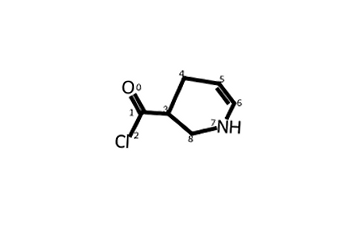 O=C(Cl)C1CC=CNC1